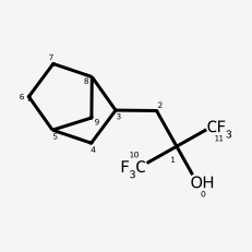 OC(CC1CC2[CH]CC1C2)(C(F)(F)F)C(F)(F)F